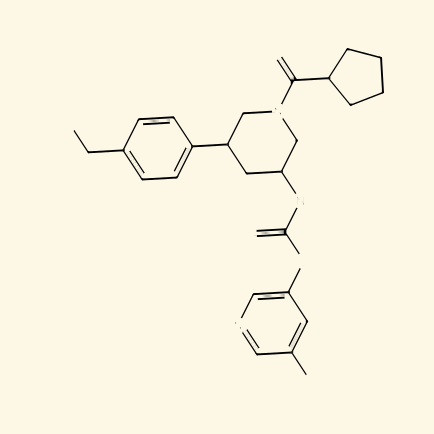 CCc1ccc(C2CC(NC(=O)Oc3cncc(Cl)c3)CN(C(=O)C3CCCC3)C2)cc1